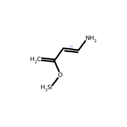 C=C(/C=C/N)O[SiH3]